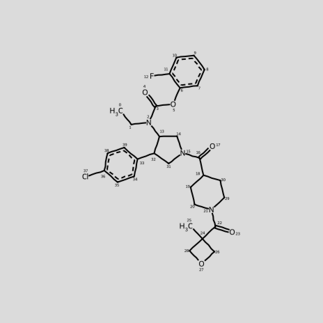 CCN(C(=O)Oc1ccccc1F)C1CN(C(=O)C2CCN(C(=O)C3(C)COC3)CC2)CC1c1ccc(Cl)cc1